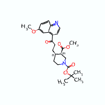 COC(=O)[C@H]1CN(C(=O)OC(C)(C)C)CC[C@H]1CCC(=O)c1ccnc2ccc(OC)cc12